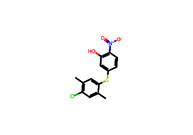 Cc1cc(Sc2ccc([N+](=O)[O-])c(O)c2)c(C)cc1Cl